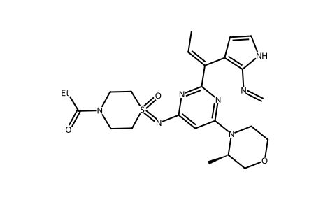 C=Nc1[nH]ccc1/C(=C\C)c1nc(N=S2(=O)CCN(C(=O)CC)CC2)cc(N2CCOC[C@H]2C)n1